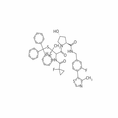 Cc1ncsc1-c1ccc(CNC(=O)[C@@H]2C[C@@H](O)CN2C(=O)C(NC(=O)C2(F)CC2)C(C)(C)SC(c2ccccc2)(c2ccccc2)c2ccccc2)cc1F